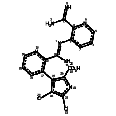 N=C(N)c1ncccc1N=C(N)c1ncccc1-n1c(C(=O)O)nc(Cl)c1Cl